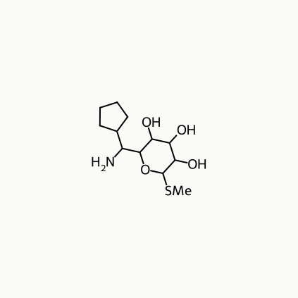 CSC1OC(C(N)C2CCCC2)C(O)C(O)C1O